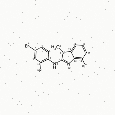 Cn1c(Nc2ccc(Br)cc2F)nc2c(F)cccc21